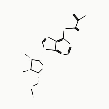 C=C(C(=O)Nc1ncnc2c1ncn2[C@@H]1O[C@H](COC(C)C)[C@@H](O)[C@H]1O)C(F)(F)F